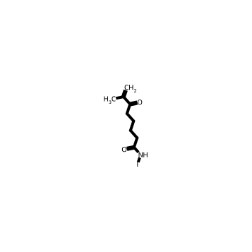 C=C(C)C(=O)CCCCC(=O)NI